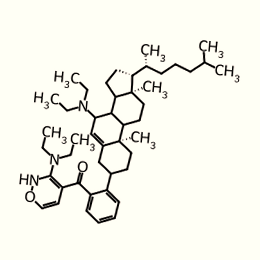 CCN(CC)C1=C(C(=O)c2ccccc2C2CC[C@@]3(C)C(=CC(N(CC)CC)C4C3CC[C@@]3(C)C4CC[C@@H]3[C@H](C)CCCC(C)C)C2)C=CON1